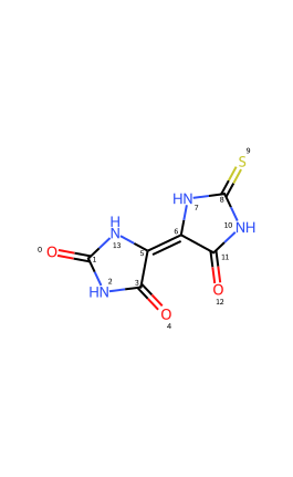 O=C1NC(=O)C(=C2NC(=S)NC2=O)N1